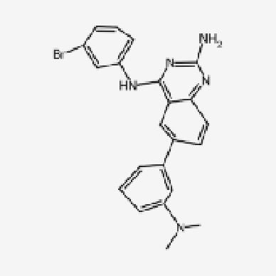 CN(C)c1cccc(-c2ccc3nc(N)nc(Nc4cccc(Br)c4)c3c2)c1